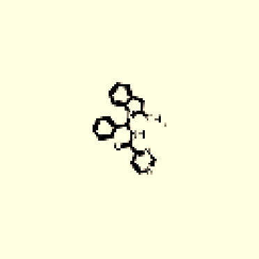 CC1Cc2ccccc2N1C(NC(=O)c1ccncn1)c1ccccc1